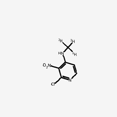 [2H]C([2H])([2H])Nc1ccnc(Cl)c1[N+](=O)[O-]